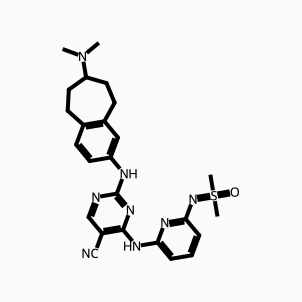 CN(C)C1CCc2ccc(Nc3ncc(C#N)c(Nc4cccc(N=S(C)(C)=O)n4)n3)cc2CC1